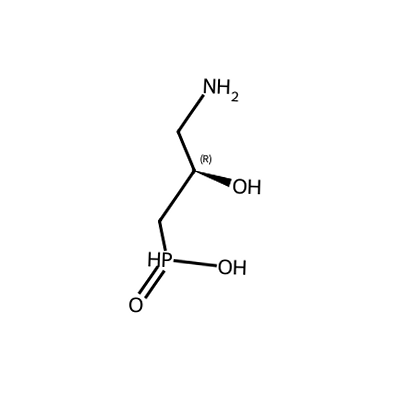 NC[C@@H](O)C[PH](=O)O